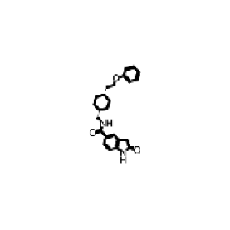 O=C1Cc2cc(C(=O)NC[C@H]3CC[C@@H](CCOc4ccccc4)CC3)ccc2N1